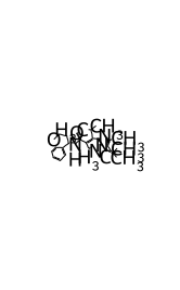 Cc1nc2c(C(C)C)c(C(=O)N[C@H]3CCOc4ccccc43)cnn2c1C(C)(C)C